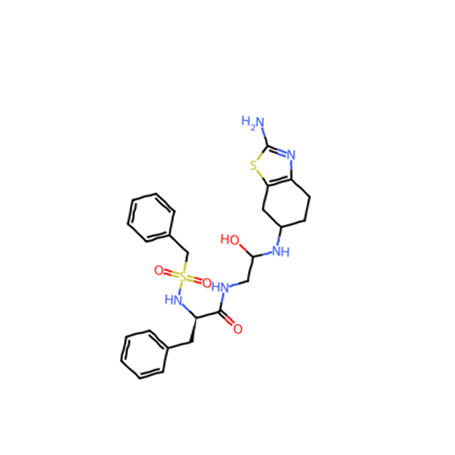 Nc1nc2c(s1)CC(NC(O)CNC(=O)[C@@H](Cc1ccccc1)NS(=O)(=O)Cc1ccccc1)CC2